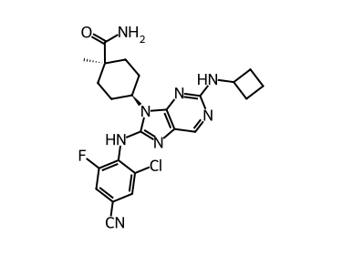 C[C@]1(C(N)=O)CC[C@@H](n2c(Nc3c(F)cc(C#N)cc3Cl)nc3cnc(NC4CCC4)nc32)CC1